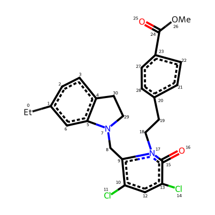 CCc1ccc2c(c1)N(Cc1c(Cl)cc(Cl)c(=O)n1CCc1ccc(C(=O)OC)cc1)CC2